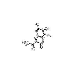 CC(=O)c1cc2cc(Cl)c(O)c(F)c2oc1=O